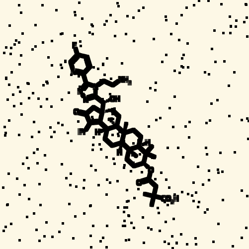 CC(C)C1=C2[C@H]3CC[C@@H]4[C@@]5(C)CC[C@H](OC(=O)CC(C)(C)C(=O)O)C(C)(C)[C@@H]5CC[C@@]4(C)[C@]3(C)CC[C@@]2([C@@H](O)c2nnc(-c3ccc(F)cn3)n2CCN)CC1=O